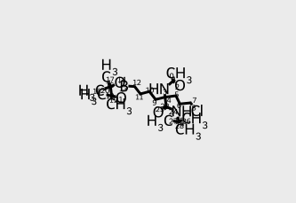 CC(=O)NC(CCCCl)(CCCCB1OC(C)(C)C(C)(C)O1)C(=O)NC(C)(C)C